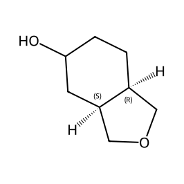 OC1CC[C@H]2COC[C@H]2C1